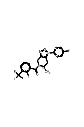 C[C@@H]1Cc2c(nnn2-c2ncc(F)cn2)CN1C(=O)c1cccc(C(F)(F)F)c1F